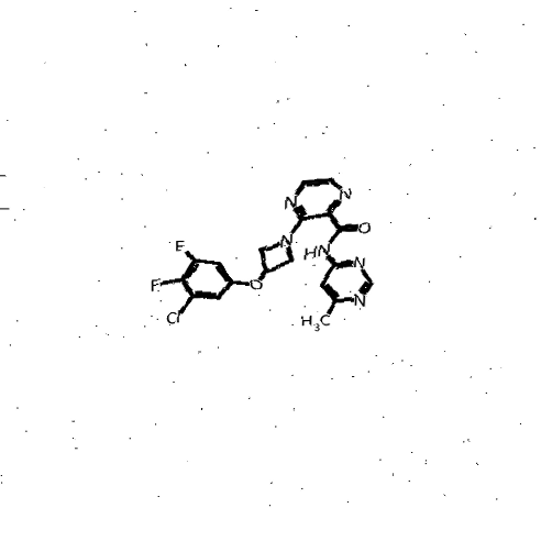 Cc1cc(NC(=O)c2nccnc2N2CC(Oc3cc(F)c(F)c(Cl)c3)C2)ncn1